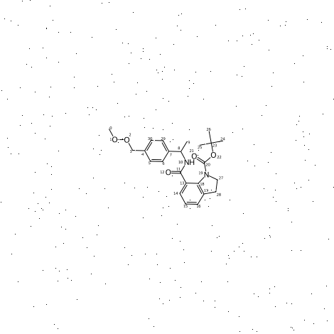 COOCc1ccc(C(C)NC(=O)c2cccc3c2N(C(=O)OC(C)(C)C)CC3)cc1